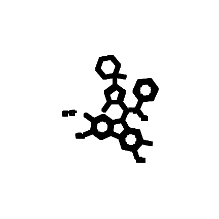 CC/[C](c1ccccc1)=[Zr+2](/[C]1=CC(C2(C)CCCCC2)=CC1C)[CH]1c2cc(C)c(C(C)(C)C)cc2-c2cc(C(C)(C)C)c(C)cc21.[Cl-].[Cl-]